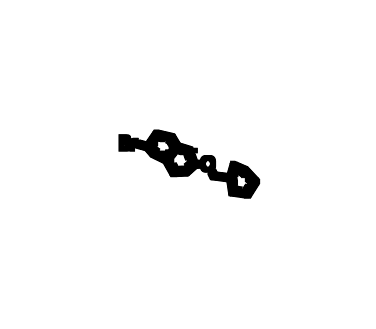 Brc1ccc2[c]c(OCc3ccccc3)ccc2c1